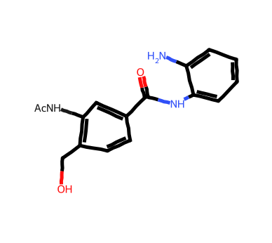 CC(=O)Nc1cc(C(=O)Nc2ccccc2N)ccc1CO